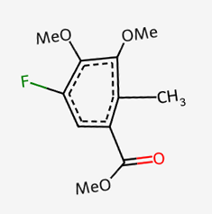 COC(=O)c1cc(F)c(OC)c(OC)c1C